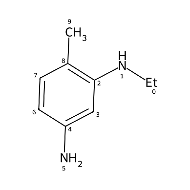 CCNc1cc(N)ccc1C